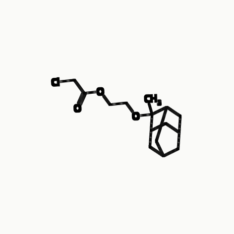 CC1(OCCOC(=O)CCl)C2CC3CC(C2)CC1C3